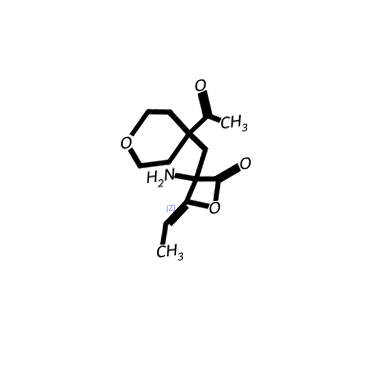 C/C=C1\OC(=O)C1(N)CC1(C(C)=O)CCOCC1